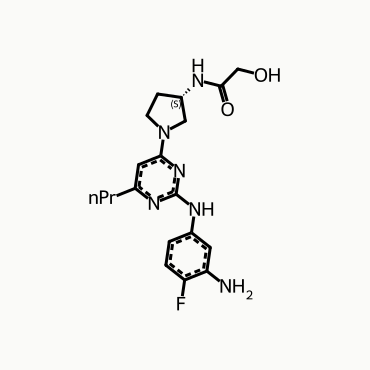 CCCc1cc(N2CC[C@H](NC(=O)CO)C2)nc(Nc2ccc(F)c(N)c2)n1